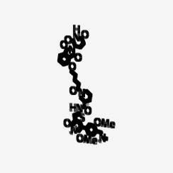 COc1cc(-c2cn(C)c(=O)c3cc(NC(=O)[C@@H]4CCCN(C(=O)CCCCOc5cccc6c5C(=O)N(C5CCC(=O)NC5=O)C6=O)C4)sc23)cc(OC)c1CN(C)C